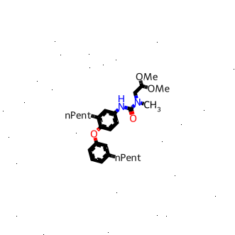 CCCCCc1cccc(Oc2ccc(NC(=O)N(C)CC(OC)OC)cc2CCCCC)c1